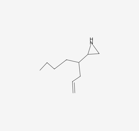 C=CCC(CCCC)C1CN1